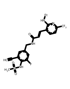 C#Cc1cc(CNC(=O)C=Cc2ccc(C(F)(F)F)nc2NCC)cc(F)c1NS(C)(=O)=O